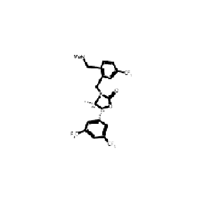 CNCc1ccc(C(F)(F)F)cc1CN1C(=O)O[C@H](c2cc(C(F)(F)F)cc(C(F)(F)F)c2)[C@@H]1C